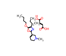 CCCCOc1oc(C2=CCCN(C)C2)nc1[C@@H](C)CC.O=C(O)C=CC(=O)O